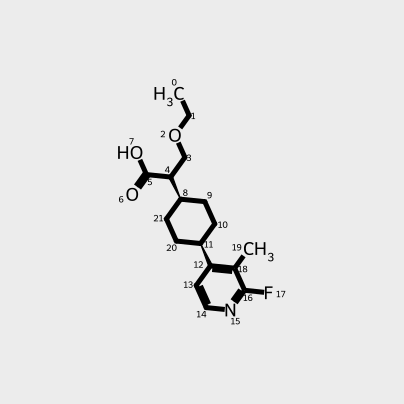 CCOCC(C(=O)O)[C@H]1CC[C@@H](c2ccnc(F)c2C)CC1